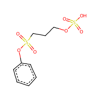 O=S(=O)(O)OCCCS(=O)(=O)Oc1ccccc1